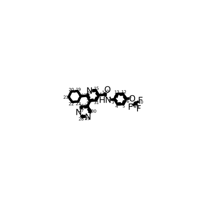 O=C(Nc1ccc(OC(F)(F)F)cc1)c1cnc(C2CCCCC2)c(-c2cncnc2)c1